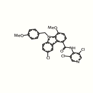 COc1ccc(Cn2c3ccc(Cl)cc3c3c(C(=O)Nc4c(Cl)cncc4Cl)ccc(OC)c32)cc1